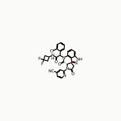 N#Cc1ccnc(N2C(=O)CC[C@H]2C(=O)N(c2cccc3[nH]ncc23)C(C(=O)NC2CC(F)(F)C2)c2ccccc2Cl)c1